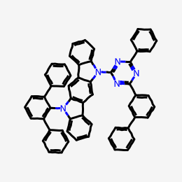 c1ccc(-c2cccc(-c3nc(-c4ccccc4)nc(-n4c5ccccc5c5cc6c(cc54)c4ccccc4n6-c4c(-c5ccccc5)cccc4-c4ccccc4)n3)c2)cc1